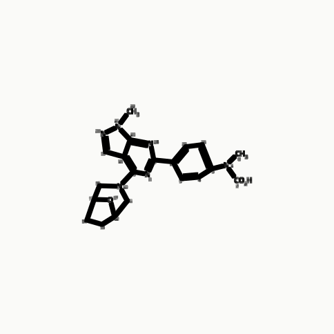 CN(C(=O)O)c1ccc(-c2nc(N3CC4CCC(C3)O4)c3cnn(C)c3n2)cc1